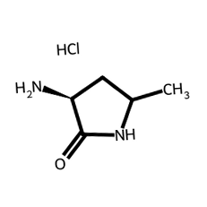 CC1C[C@H](N)C(=O)N1.Cl